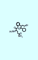 CC(=O)NC(CCC(N)=O)C(=O)Sc1ccccc1N(CCC(C)C)C(=O)C1CCCCC1